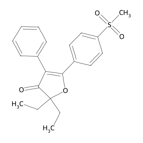 CCC1(CC)OC(c2ccc(S(C)(=O)=O)cc2)=C(c2ccccc2)C1=O